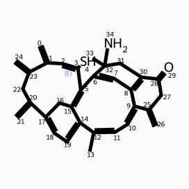 C=C1/C=C(/S)c2c3cc4c(ccc(C)c5c2CC(=CC=5)C(=C)CC1=C)C(=C)CC(=O)C=4CC3(C)N